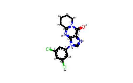 O=c1c2ncn(-c3cc(Cl)cc(Cl)c3)c2nc2n1CCCC2